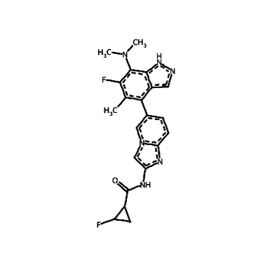 Cc1c(F)c(N(C)C)c2[nH]ncc2c1-c1ccc2nc(NC(=O)C3CC3F)cn2c1